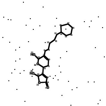 O=C1C=C(C2CC=C(CCCCCC3CCCCC3)C(O)O2)C(O)O1